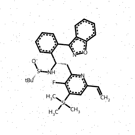 C=Cc1cc([Si](C)(C)C)c(F)c(C[C@H](N[S@@+]([O-])C(C)(C)C)c2ccccc2-c2noc3ccccc23)n1